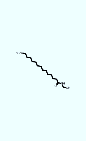 CCCCCCCCCCCCCCCCCCCCCCCC(=O)NCO